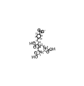 O=C(O)CN1CCN(CC(=O)O)CCN(C(CCc2ccc([N+](=O)[O-])cc2)C(=O)O)CC1